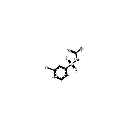 CCC(=O)NS(=O)(=O)c1ccnc(Cl)c1